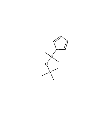 C[Si](C)(C)O[Si](C)(C)C1C=CC=C1